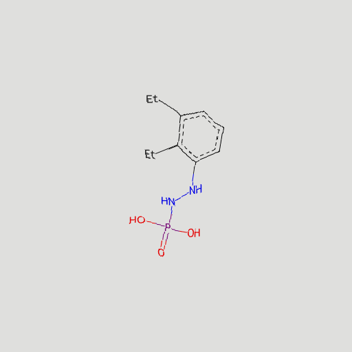 CCc1cccc(NNP(=O)(O)O)c1CC